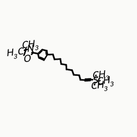 CC1(C)COC(c2ccc(CCCCCCCCCCC#C[Si](C)(C)C)cc2)=N1